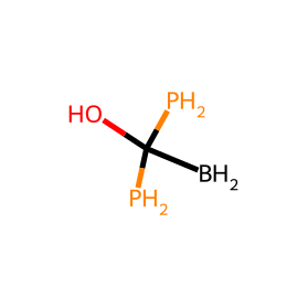 BC(O)(P)P